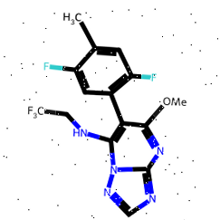 COc1nc2ncnn2c(NCC(F)(F)F)c1-c1cc(F)c(C)cc1F